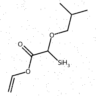 C=COC(=O)C([SiH3])OCC(C)C